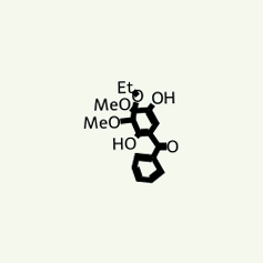 CCOC1(OC)C(O)=CC(C(=O)c2ccccc2)=C(O)C1OC